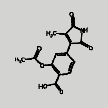 CC(=O)Oc1cc(C2=C(C)C(=O)NC2=O)ccc1C(=O)O